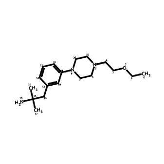 CCOCCN1CCN(c2cccc(CC(C)(C)N)c2)CC1